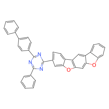 c1ccc(-c2ccc(-c3nc(-c4ccccc4)nc(-c4ccc5c(c4)oc4cc6oc7ccccc7c6cc45)n3)cc2)cc1